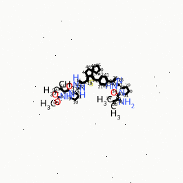 COC(=O)NC(C(=O)N1CCC[C@H]1C1NC=C(c2sc(-c3ccc(-c4cnc([C@@H]5CCCN5C(=O)[C@@H](N)C(C)C)[nH]4)cc3)c3c2CCC32CCCC2)N1)C(C)C